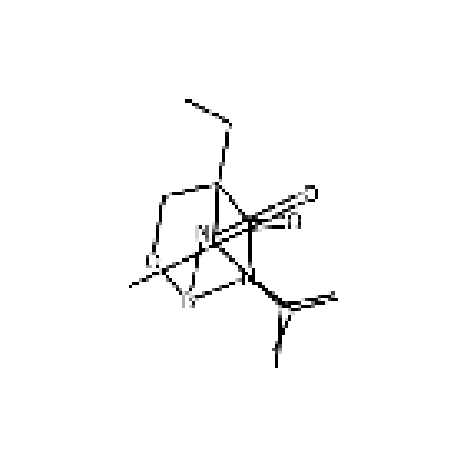 CCC12COB(N(C(C)C)C1=O)N(C(C)C)C2=O